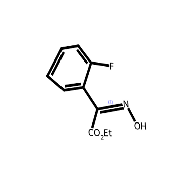 CCOC(=O)/C(=N\O)c1ccccc1F